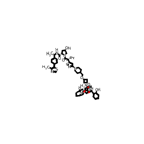 Cc1ncsc1-c1ccc([C@H](C)NC(=O)[C@@H]2C[C@@H](O)CN2C(=O)[C@@H](c2cc(N3CCC(COC4CC(Oc5cc(N6C7CC[C@@H]6CN(c6cc(-c8ccccc8O)nnc6N)C7)ccn5)C4)CC3)no2)C(C)C)cc1